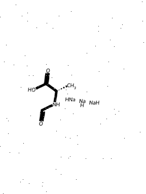 C[C@H](NC=O)C(=O)O.[NaH].[NaH].[NaH]